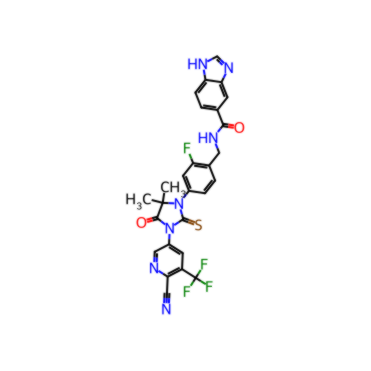 CC1(C)C(=O)N(c2cnc(C#N)c(C(F)(F)F)c2)C(=S)N1c1ccc(CNC(=O)c2ccc3[nH]cnc3c2)c(F)c1